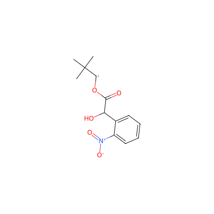 CC(C)(C)[C]OC(=O)C(O)c1ccccc1[N+](=O)[O-]